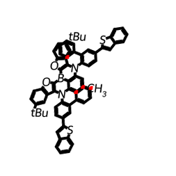 Cc1cc2c3c(c1)N(c1ccc(-c4cc5ccccc5s4)cc1-c1ccccc1)c1c(oc4ccc(C(C)(C)C)cc14)B3c1oc3ccc(C(C)(C)C)cc3c1N2c1ccc(-c2cc3ccccc3s2)cc1-c1ccccc1